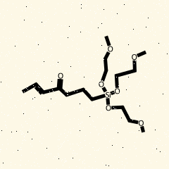 CC=CC(=O)CCC[Si](OCCOC)(OCCOC)OCCOC